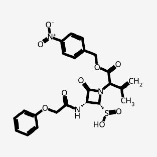 C=C(C)C(C(=O)OCc1ccc([N+](=O)[O-])cc1)N1C(=O)[C@@H](NC(=O)COc2ccccc2)[C@H]1S(=O)O